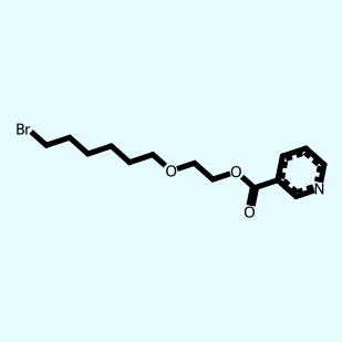 O=C(OCCOCCCCCCBr)c1cccnc1